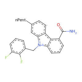 CCCCCc1c[c]c2c3c(C(N)=O)cccc3n(Cc3cccc(F)c3F)c2c1